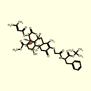 COC(=O)[C@@]12C[C@H](O)C3[C@@]4(C)CC(=O)C(OCC(=O)NC(Cc5ccccc5)C(=O)OC(C)(C)C)=C(C)C4C[C@H]4OC(=O)[C@H](OC(=O)C=C(C)C)[C@@H]1[C@@]34CO2